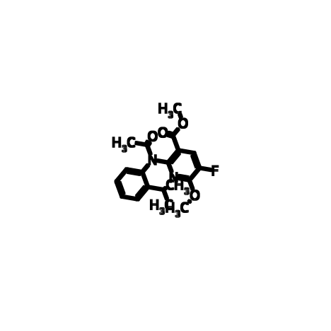 COC(=O)c1cc(F)c(OC)nc1N(C(C)=O)c1ccccc1C(C)C